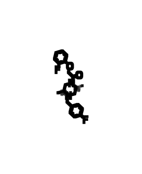 C[C@@H]1CN(Cc2ccc(F)cc2)[C@@H](C)CN1C(=O)COc1ccccc1F